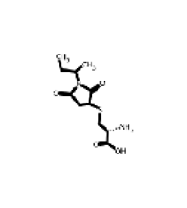 CCC(C)N1C(=O)CC(SC[C@H](N)C(=O)O)C1=O